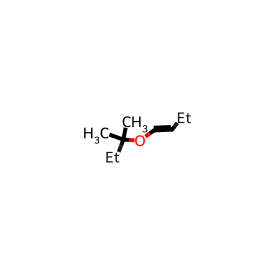 CCC=COC(C)(C)CC